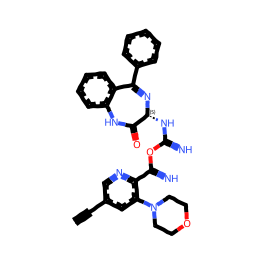 C#Cc1cnc(C(=N)OC(=N)N[C@H]2N=C(c3ccccc3)c3ccccc3NC2=O)c(N2CCOCC2)c1